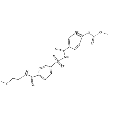 CCOCCNC(=O)c1ccc(S(=O)(=O)NC(=O)c2ccc(OC(=O)OC)nc2)cc1